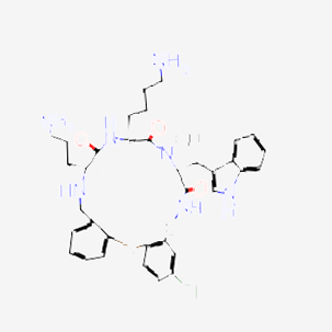 CN1C(=O)[C@H](CCCCN)NC(=O)[C@H](CCCN)NCc2ccccc2Sc2ccc(Cl)cc2CNC(=O)[C@@H]1Cc1c[nH]c2ccccc12